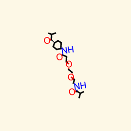 CC(C)C(=O)NCCOCCOCCC(=O)N[C@H]1CC[C@@H](C(=O)C(C)C)CC1